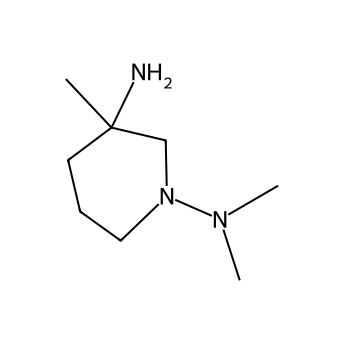 CN(C)N1CCCC(C)(N)C1